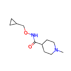 CN1CCC(C(=O)NOCC2CC2)CC1